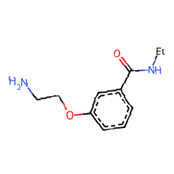 CCNC(=O)c1cccc(OCCN)c1